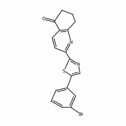 O=C1CCCc2nc(-c3ncc(-c4cccc(Br)c4)s3)ccc21